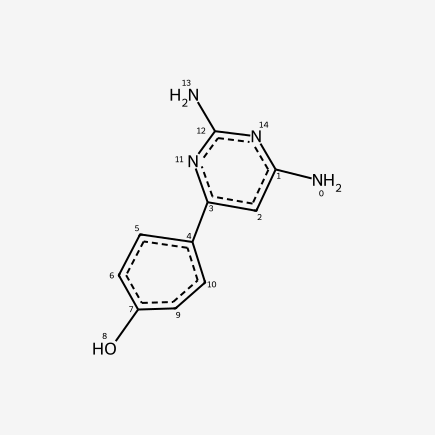 Nc1cc(-c2ccc(O)cc2)nc(N)n1